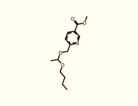 CCCCOC(C)OCc1ccc(C(=O)OC)cn1